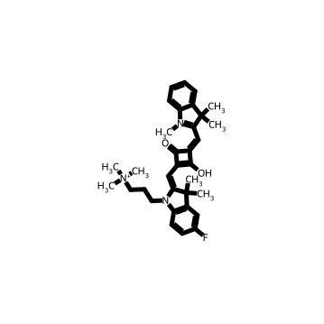 C[N+]1=C(C=C2C(=O)C(/C=C3/N(CCC[N+](C)(C)C)c4ccc(F)cc4C3(C)C)=C2O)C(C)(C)c2ccccc21